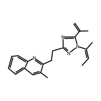 C=C(C)c1nc(CCc2nc3ccccc3cc2C)nn1/C(C)=C\C